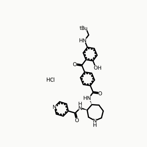 CC(C)(C)CNc1ccc(O)c(C(=O)c2ccc(C(=O)N[C@@H]3CCCNC[C@H]3NC(=O)c3ccncc3)cc2)c1.Cl